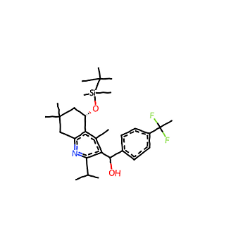 Cc1c(C(O)c2ccc(C(C)(F)F)cc2)c(C(C)C)nc2c1[C@@H](O[Si](C)(C)C(C)(C)C)CC(C)(C)C2